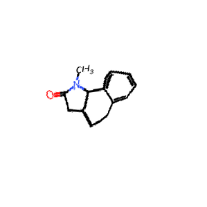 CN1C(=O)CC2CCc3ccccc3C21